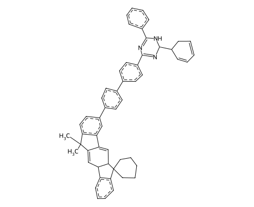 CC1(C)C2=CC3c4ccccc4C4(CCCCC4)C3C=C2c2cc(-c3ccc(-c4ccc(C5=NC(C6C=CC=CC6)NC(c6ccccc6)=N5)cc4)cc3)ccc21